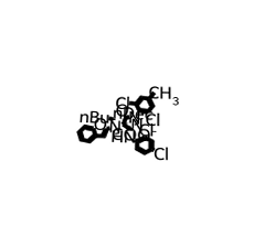 CCCCCCCCCCC(CCCC)[N+](C(=O)[O-])(c1cc2ccccc2o1)C1C(=O)N(c2c(Cl)cc(C)cc2Cl)N=C1Nc1ccc(Cl)cc1Cl